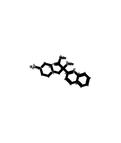 CNC(=S)C(CN1CCN(C)CC1)(OC)c1ccc2ccccc2n1